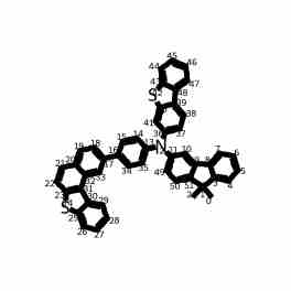 CC1(C)c2ccccc2-c2cc(N(c3ccc(-c4ccc5ccc6sc7ccccc7c6c5c4)cc3)c3ccc4c(c3)sc3ccccc34)ccc21